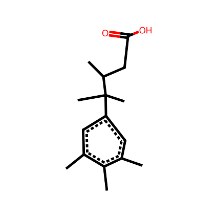 Cc1cc(C(C)(C)C(C)CC(=O)O)cc(C)c1C